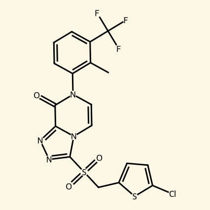 Cc1c(-n2ccn3c(S(=O)(=O)Cc4ccc(Cl)s4)nnc3c2=O)cccc1C(F)(F)F